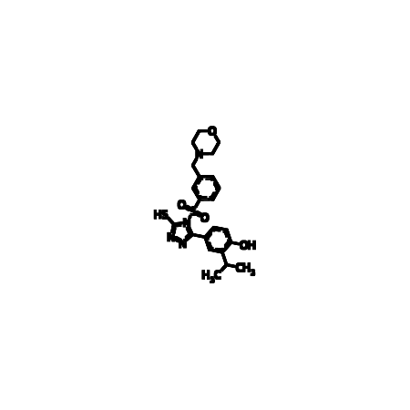 CC(C)c1cc(-c2nnc(S)n2S(=O)(=O)c2cccc(CN3CCOCC3)c2)ccc1O